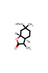 CCCCCC1(C)CC[C@H]2C(C)C(=O)O[C@@H]2C1